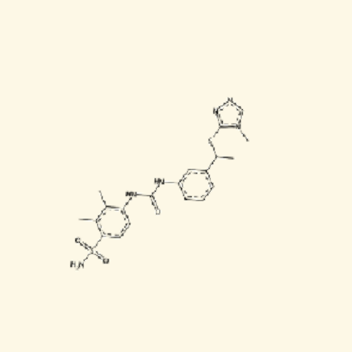 Cc1c(NC(=O)Nc2cccc(C(C)Sc3nncn3C)c2)ccc(S(N)(=O)=O)c1C